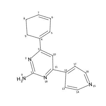 Nc1nc(C2=CC=CCC2)cc(-c2ccncc2)n1